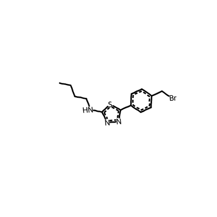 CCCCNc1nnc(-c2ccc(CBr)cc2)s1